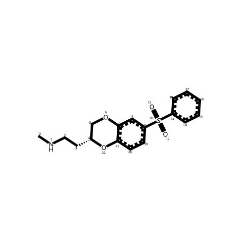 CNCC[C@@H]1COc2cc(S(=O)(=O)c3ccccc3)ccc2O1